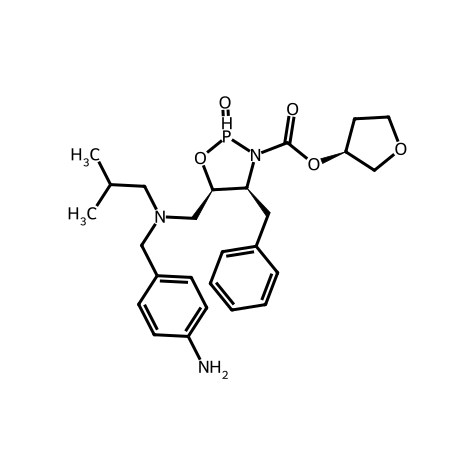 CC(C)CN(Cc1ccc(N)cc1)C[C@H]1O[PH](=O)N(C(=O)O[C@H]2CCOC2)[C@H]1Cc1ccccc1